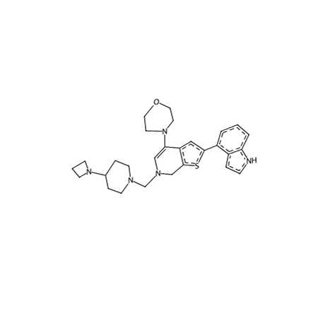 C1=C(N2CCOCC2)c2cc(-c3cccc4[nH]ccc34)sc2CN1CN1CCC(N2CCC2)CC1